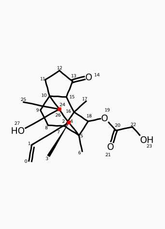 C=C[C@@]1(C)CC2(C)C3CCC4(CCC(=O)C4C3(C)C2OC(=O)CO)C(C)C1O